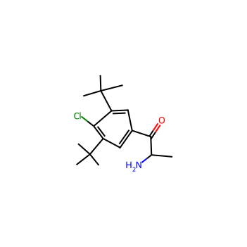 CC(N)C(=O)c1cc(C(C)(C)C)c(Cl)c(C(C)(C)C)c1